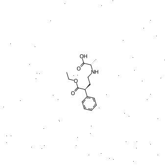 CCOC(=O)[C@@H](CCN[C@@H](C)C(=O)O)c1ccccc1